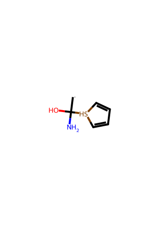 [CH2]C(N)(O)[SH]1C=CC=C1